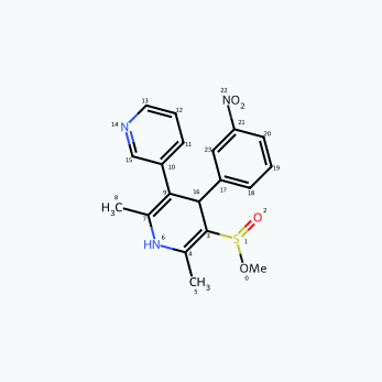 COS(=O)C1=C(C)NC(C)=C(c2cccnc2)C1c1cccc([N+](=O)[O-])c1